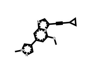 COc1cc(-c2cnn(C)c2)cc2ncc(C#CC3CC3)n12